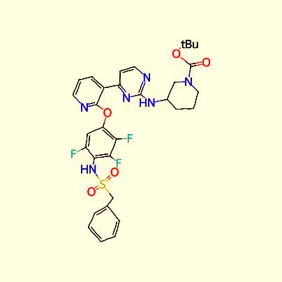 CC(C)(C)OC(=O)N1CCCC(Nc2nccc(-c3cccnc3Oc3cc(F)c(NS(=O)(=O)Cc4ccccc4)c(F)c3F)n2)C1